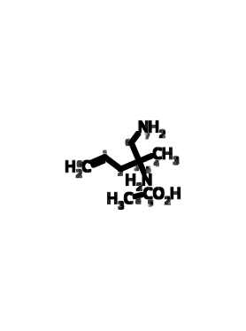 C=CCC(C)(N)CN.CC(=O)O